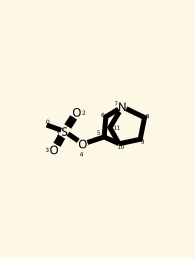 CS(=O)(=O)OC1CN2CCC1C2